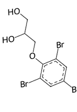 OCC(O)COc1c(Br)cc(Br)cc1Br